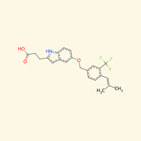 CC(C)=Cc1ccc(COc2ccc3[nH]c(CCC(=O)O)cc3c2)cc1C(F)(F)F